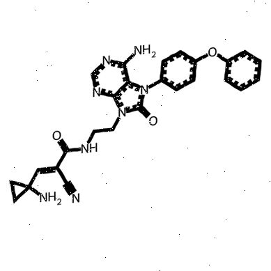 N#CC(=CC1(N)CC1)C(=O)NCCn1c(=O)n(-c2ccc(Oc3ccccc3)cc2)c2c(N)ncnc21